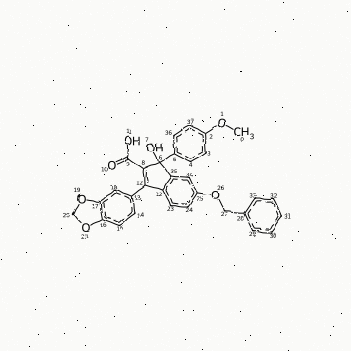 COc1ccc(C2(O)C(C(=O)O)=C(c3ccc4c(c3)OCO4)c3ccc(OCc4ccccc4)cc32)cc1